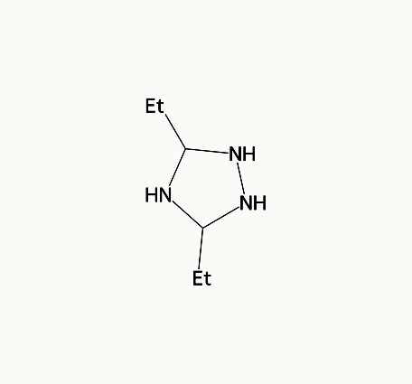 CCC1NNC(CC)N1